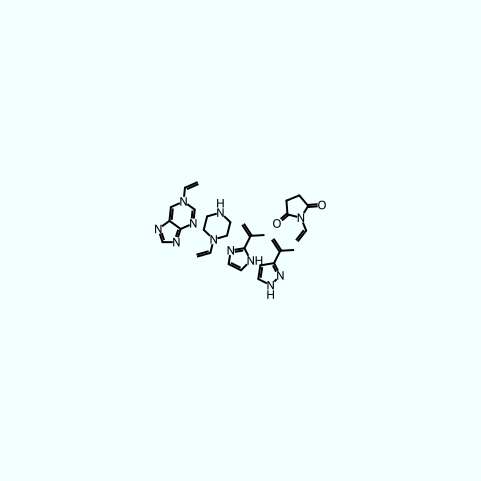 C=C(C)c1cc[nH]n1.C=C(C)c1ncc[nH]1.C=CN1C(=O)CCC1=O.C=CN1CCNCC1.C=Cn1cnc2ncnc-2c1